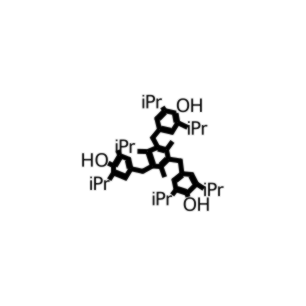 Cc1c(Cc2cc(C(C)C)c(O)c(C(C)C)c2)c(C)c(Cc2cc(C(C)C)c(O)c(C(C)C)c2)c(C)c1Cc1cc(C(C)C)c(O)c(C(C)C)c1